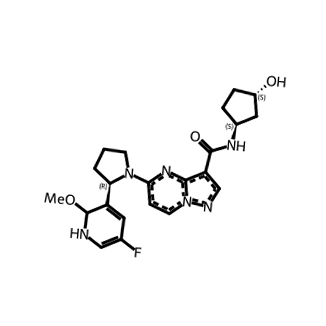 COC1NC=C(F)C=C1[C@H]1CCCN1c1ccn2ncc(C(=O)N[C@H]3CC[C@H](O)C3)c2n1